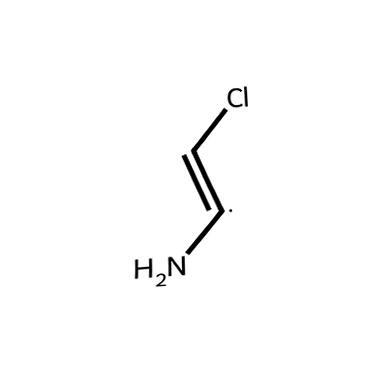 N[C]=CCl